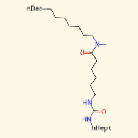 CCCCCCCCCCCCCCCCCN(C)C(=O)CCCCCNC(=O)NCCCCCCC